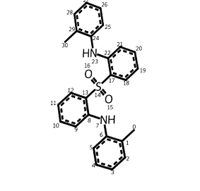 Cc1ccccc1Nc1ccccc1S(=O)(=O)c1ccccc1Nc1ccccc1C